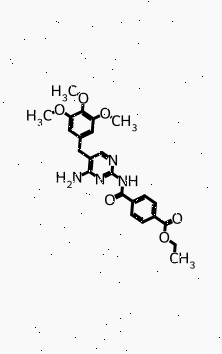 CCOC(=O)c1ccc(C(=O)Nc2ncc(Cc3cc(OC)c(OC)c(OC)c3)c(N)n2)cc1